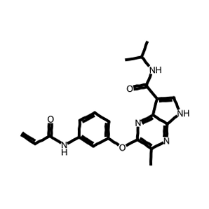 C=CC(=O)Nc1cccc(Oc2nc3c(C(=O)NC(C)C)c[nH]c3nc2C)c1